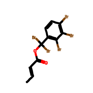 CC=CC(=O)OC(Br)(Br)c1ccc(Br)c(Br)c1Br